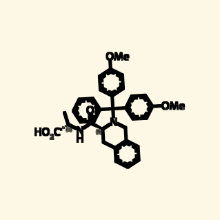 COc1ccc(C(c2ccccc2)(c2ccc(OC)cc2)N2Cc3ccccc3C[C@H]2C(=O)N[C@@H](C)C(=O)O)cc1